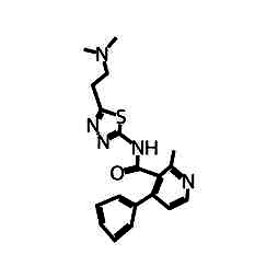 Cc1nccc(-c2ccccc2)c1C(=O)Nc1nnc(CCN(C)C)s1